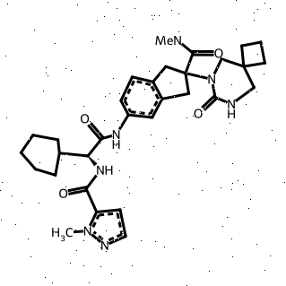 CNC(=O)C1(N2CC3(CCC3)CNC2=O)Cc2ccc(NC(=O)[C@@H](NC(=O)c3ccnn3C)C3CCCCC3)cc2C1